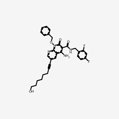 Nc1c(C(=O)NCc2ccc(F)cc2F)c(=O)n(OCc2ccccc2)c2ncc(C#CCCCCCCO)cc12